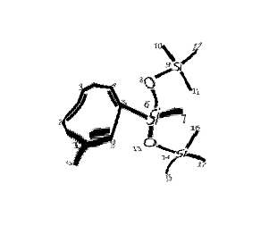 Cc1cccc([Si](C)(O[Si](C)(C)C)O[Si](C)(C)C)c1